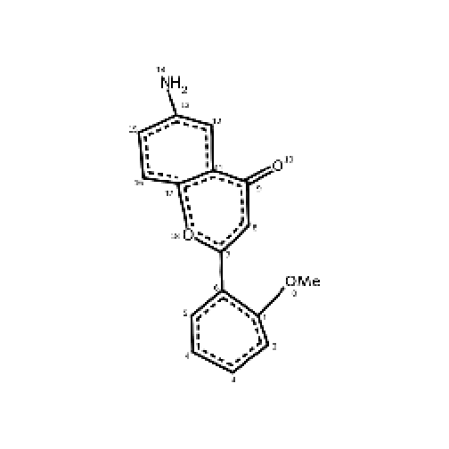 COc1ccccc1-c1cc(=O)c2cc(N)ccc2o1